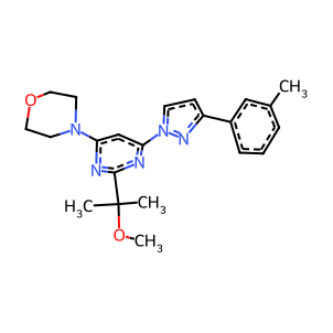 COC(C)(C)c1nc(N2CCOCC2)cc(-n2ccc(-c3cccc(C)c3)n2)n1